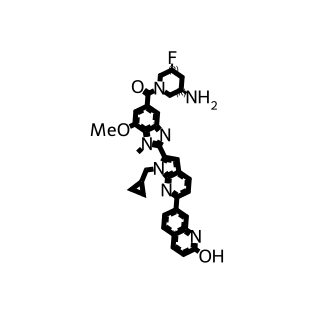 COc1cc(C(=O)N2C[C@H](N)C[C@@H](F)C2)cc2nc(-c3cc4ccc(-c5ccc6ccc(O)nc6c5)nc4n3CC3CC3)n(C)c12